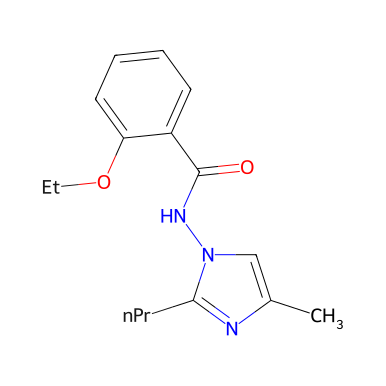 CCCc1nc(C)cn1NC(=O)c1ccccc1OCC